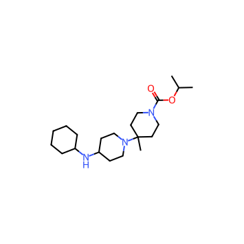 CC(C)OC(=O)N1CCC(C)(N2CCC(NC3CCCCC3)CC2)CC1